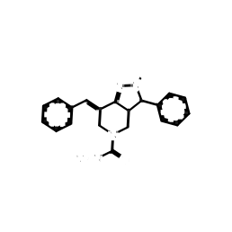 CNC(=O)N1CC(=Cc2ccccc2)C2=NN(C)C(c3ccccc3)C2C1